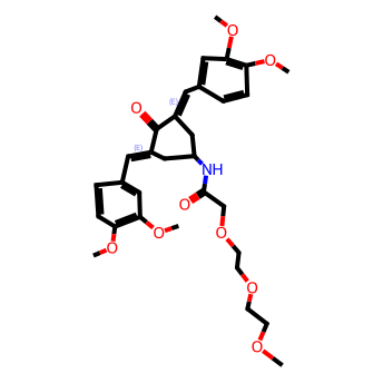 COCCOCCOCC(=O)NC1C/C(=C\c2ccc(OC)c(OC)c2)C(=O)/C(=C/c2ccc(OC)c(OC)c2)C1